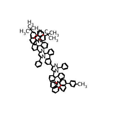 Cc1ccc(-c2ccc3c(c2)c2ccccc2n3-c2cccc(-c3cc(-c4cccc(-c5ccccc5-c5nc(-c6ccccc6)cc(-c6cccc(-n7c8ccc(C(C)(C)C)cc8c8cc(C(C)(C)C)ccc87)c6-c6ccccc6-n6c7ccccc7c7ccccc76)n5)c4)nc(-c4ccccc4)n3)c2-c2ccccc2-n2c3ccccc3c3ccccc32)cc1